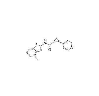 Cc1cncc2sc(NC(=O)C3CC3c3ccncc3)cc12